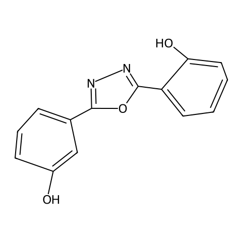 Oc1cccc(-c2nnc(-c3ccccc3O)o2)c1